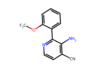 N#Cc1ccnc(-c2ccccc2OC(F)(F)F)c1N